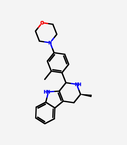 Cc1cc(N2CCOCC2)ccc1C1N[C@@H](C)Cc2c1[nH]c1ccccc21